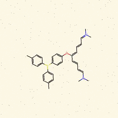 Cc1ccc([S+](c2ccc(C)cc2)c2ccc(OC(=C\C=C\C=[N+](C)C)/C=C/C=C/N(C)C)cc2)cc1